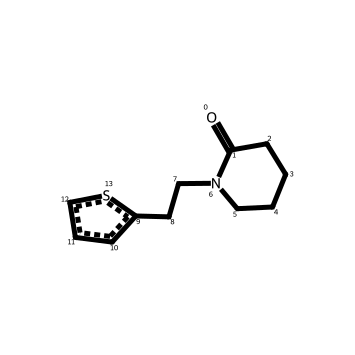 O=C1CCCCN1CCc1cccs1